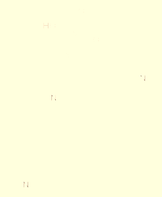 CN=C1C=CC(=Nc2ccc(N(C)C)cc2SS(=O)(=O)O)C=C1